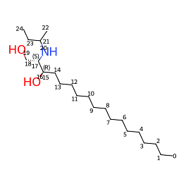 CCCCCCCCCCCCCCC[C@@H](O)[C@H](CO)NC(C)CC